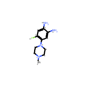 CC(C)N1CCN(c2cc(N)c(N)cc2F)CC1